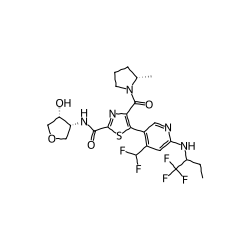 CCC(Nc1cc(C(F)F)c(-c2sc(C(=O)N[C@@H]3COC[C@@H]3O)nc2C(=O)N2CCC[C@@H]2C)cn1)C(F)(F)F